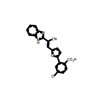 N#C/C(=C\c1ccc(-c2cc(Cl)ccc2C(=O)O)o1)c1nc2ccccc2[nH]1